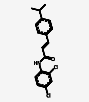 CC(C)c1ccc(C=CC(=O)Nc2ccc(Cl)cc2Cl)cc1